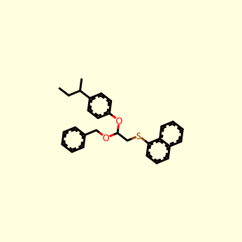 CCC(C)c1ccc(OC(CSc2cccc3ccccc23)OCc2ccccc2)cc1